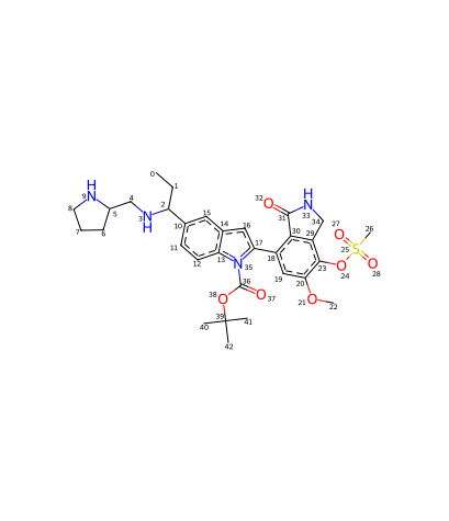 CCC(NCC1CCCN1)c1ccc2c(c1)cc(-c1cc(OC)c(OS(C)(=O)=O)c3c1C(=O)NC3)n2C(=O)OC(C)(C)C